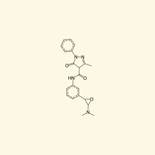 CC1=NN(c2ccccc2)C(=O)C1C(=O)Nc1cccc(C2OC2N(C)C)c1